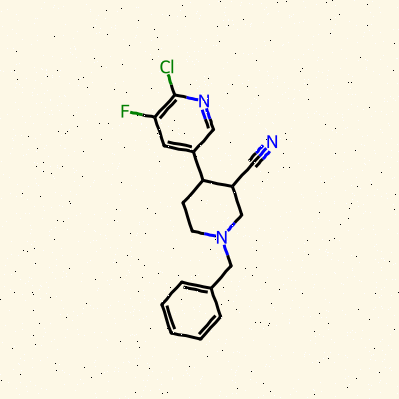 N#CC1CN(Cc2ccccc2)CCC1c1cnc(Cl)c(F)c1